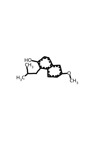 COc1ccc2c(CC(C)C)c(O)ccc2c1